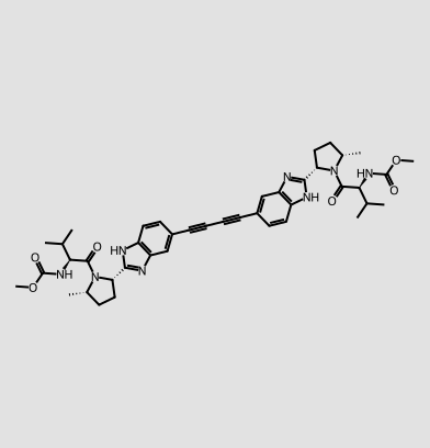 COC(=O)N[C@H](C(=O)N1[C@@H](C)CC[C@H]1c1nc2cc(C#CC#Cc3ccc4[nH]c([C@@H]5CC[C@H](C)N5C(=O)[C@@H](NC(=O)OC)C(C)C)nc4c3)ccc2[nH]1)C(C)C